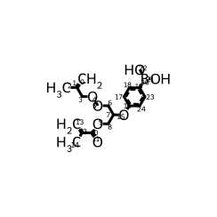 C=C(C)COOCC(COC(=O)C(=C)C)Oc1ccc(B(O)O)cc1